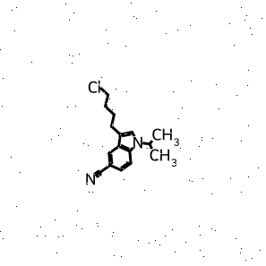 CC(C)n1cc(CCCCCl)c2cc(C#N)ccc21